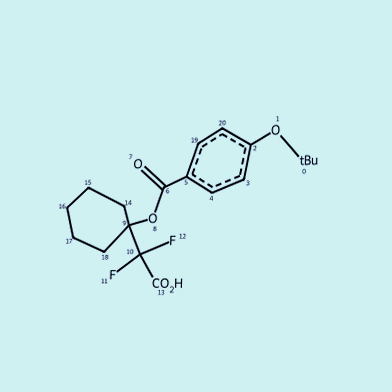 CC(C)(C)Oc1ccc(C(=O)OC2(C(F)(F)C(=O)O)CCCCC2)cc1